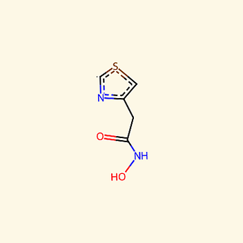 O=C(Cc1cs[c]n1)NO